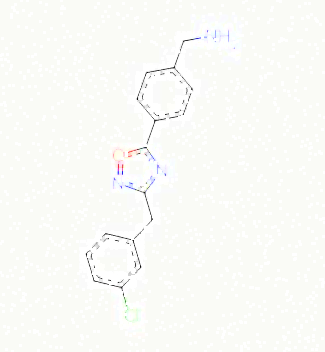 NCc1ccc(-c2nc(Cc3cccc(Cl)c3)no2)cc1